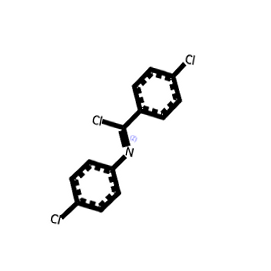 Cl/C(=N\c1ccc(Cl)cc1)c1ccc(Cl)cc1